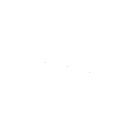 COc1cccc(C(=O)c2sc(Nc3ccc(N4CCC(N(C)C)CC4)cc3)nc2N)c1[N+](=O)[O-]